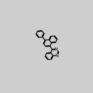 c1ccc(-c2ccc(-c3ncnc4ccccc34)c3ccccc23)cc1